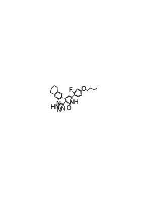 CCCCOc1ccc(-c2cc(-c3ccc4c(c3)CCCC4)c(-c3nn[nH]n3)c(=O)[nH]2)c(F)c1